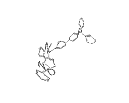 C1=CCCC(P(C2=CCC(c3ccc(-c4nc5ccccc5c5c4=CCC4OC(c6ccccc6)=NC=54)cc3)C=C2)c2ccccc2)=C1